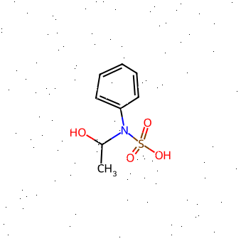 C[C](O)N(c1ccccc1)S(=O)(=O)O